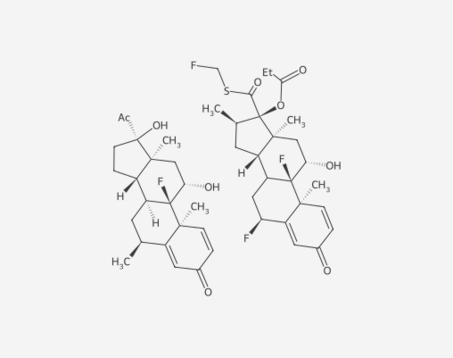 CC(=O)[C@@]1(O)CC[C@H]2[C@@H]3C[C@H](C)C4=CC(=O)C=C[C@]4(C)[C@@]3(F)[C@@H](O)C[C@@]21C.CCC(=O)O[C@]1(C(=O)SCF)[C@H](C)C[C@H]2C3C[C@H](F)C4=CC(=O)C=C[C@]4(C)[C@@]3(F)[C@@H](O)C[C@@]21C